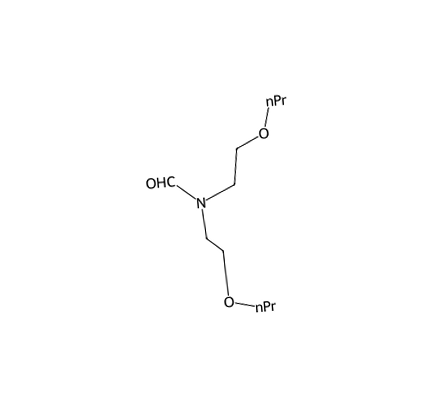 CCCOCCN(C=O)CCOCCC